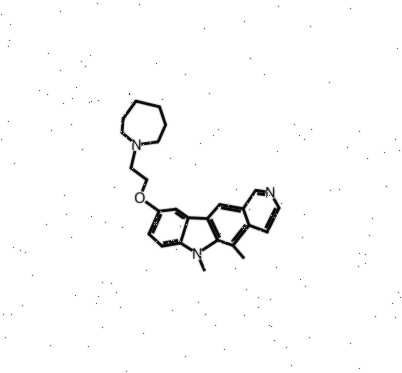 Cc1c2ccncc2cc2c3cc(OCCN4CCCCCC4)ccc3n(C)c12